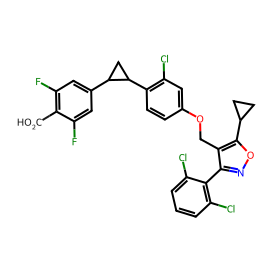 O=C(O)c1c(F)cc(C2CC2c2ccc(OCc3c(-c4c(Cl)cccc4Cl)noc3C3CC3)cc2Cl)cc1F